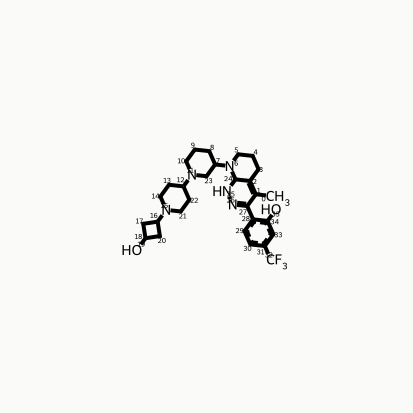 CC1=C2CCCN(C3CCCN(C4CCN(C5CC(O)C5)CC4)C3)C2NN=C1c1ccc(C(F)(F)F)cc1O